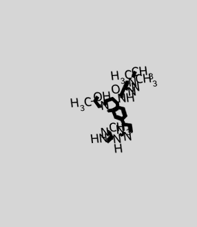 Cc1n[nH]cc1Nc1nccc(-c2ccc3c(c2)CN(C[C@H](C)O)CC[C@@H]3NC(=O)c2cn(C(C)(C)C)nn2)n1